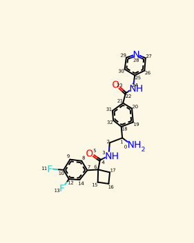 NC(CNC(=O)C1(c2ccc(F)c(F)c2)CCC1)c1ccc(C(=O)Nc2ccncc2)cc1